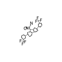 [C-]#[N+]C(C#N)=C1c2cc(-c3cccc(C(F)(F)F)c3)ccc2-c2ccc(-c3cccc(C(F)(F)F)c3)cc21